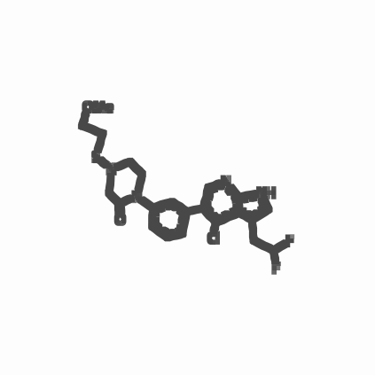 COCCSN1CCN(c2cccc(-c3cnc4[nH]cc(CC(F)F)c4c3Cl)c2)C(=O)C1